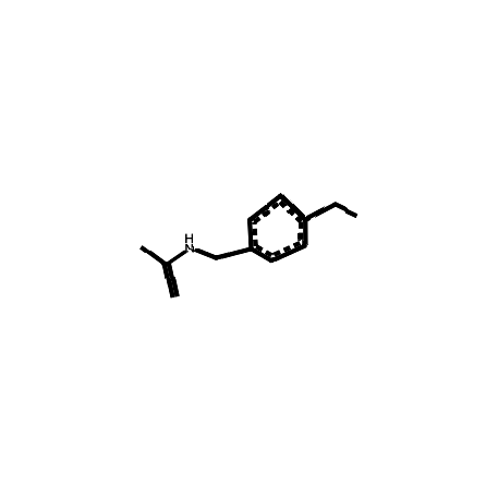 C=C(C)NCc1ccc(CC)cc1